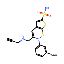 C#CCNCC1=Cc2cc(S(N)(=O)=O)sc2SN1c1cccc(OC)c1